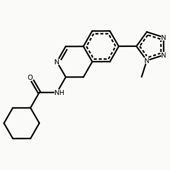 Cn1nncc1-c1ccc2c(c1)CC(NC(=O)C1CCCCC1)N=C2